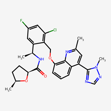 Cc1cc(-c2ncnn2C)c2cccc(OCc3c(Cl)cc(F)cc3[C@H](C)NC(=O)[C@@H]3CC[C@H](C)O3)c2n1